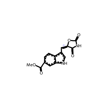 COC(=O)c1ccc2c(/C=C3/OC(=O)NC3=O)c[nH]c2c1